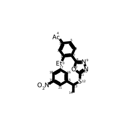 CCc1cc(C(C)=O)ccc1-c1nnc(SC(C)c2cccc([N+](=O)[O-])c2)o1